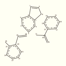 C1=Cc2ccccc2C1.C=C(C)c1ccccc1.C=Cc1ccccc1C